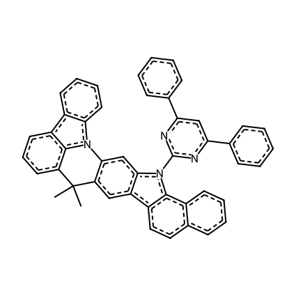 CC1(C)c2cc3c4ccc5ccccc5c4n(-c4nc(-c5ccccc5)cc(-c5ccccc5)n4)c3cc2-n2c3ccccc3c3cccc1c32